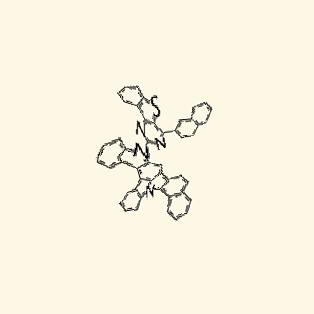 c1ccc2cc(-c3nc(-n4c5ccccc5c5c6c7ccccc7n7c8c9ccccc9ccc8c(cc54)c67)nc4c3sc3ccccc34)ccc2c1